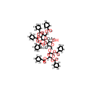 CC(=O)OC1C(O)OC(COC2OC(COC(=O)c3ccccc3)C(OC(=O)c3ccccc3)OC2OC(=O)c2ccccc2)C(OC(C)=O)C1OC1OC(COC(=O)c2ccccc2)C(OC(=O)c2ccccc2)C(OC(=O)c2ccccc2)C1OC(=O)c1ccccc1